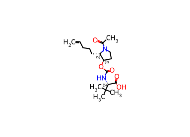 C=CCCC[C@H]1[C@H](OC(=O)N[C@H](C(=O)O)C(C)(C)C)CCN1C(C)=O